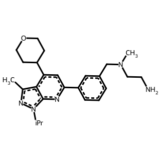 Cc1nn(C(C)C)c2nc(-c3cccc(CN(C)CCN)c3)cc(C3CCOCC3)c12